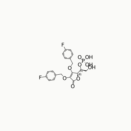 O=C1O[C@H]([C@H](CO)OP(=O)(O)O)C(OCc2ccc(F)cc2)=C1OCc1ccc(F)cc1